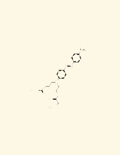 CCC(=O)OCCN(CCOC(C)=O)c1ccc(/N=N/c2ccc([N+](=O)[O-])cc2)cc1